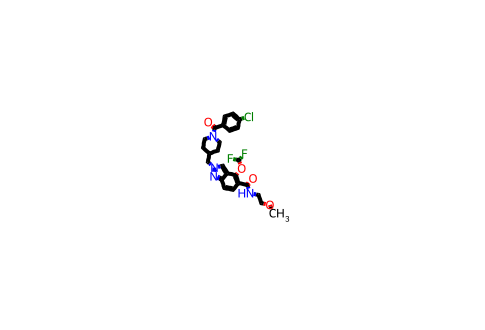 COCCNC(=O)c1ccc2nn(CC3CCN(C(=O)c4ccc(Cl)cc4)CC3)cc2c1OC(F)F